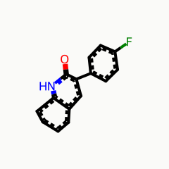 O=c1[nH]c2ccccc2cc1-c1ccc(F)cc1